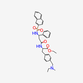 CCOC(=O)C(Cc1ccc(CN(C)CC)cc1)NC(=O)CC(NS(=O)(=O)c1ccc2ccccc2c1)c1ccccc1